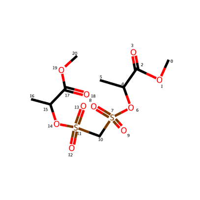 COC(=O)C(C)OS(=O)(=O)CS(=O)(=O)OC(C)C(=O)OC